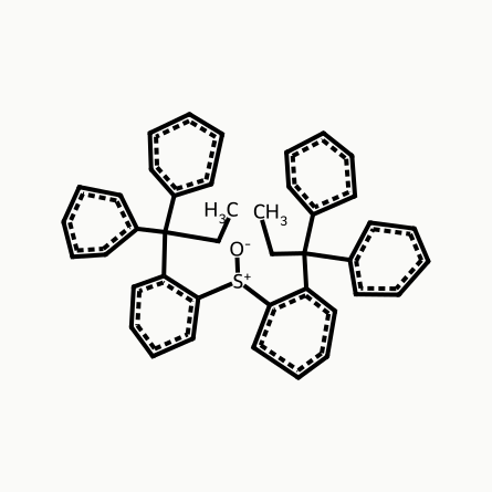 CCC(c1ccccc1)(c1ccccc1)c1ccccc1[S+]([O-])c1ccccc1C(CC)(c1ccccc1)c1ccccc1